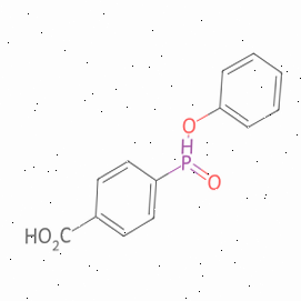 O=C(O)c1ccc([PH](=O)Oc2ccccc2)cc1